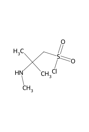 CNC(C)(C)CS(=O)(=O)Cl